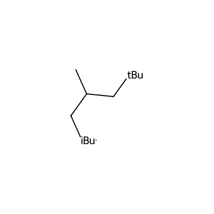 CC[C](C)CC(C)CC(C)(C)C